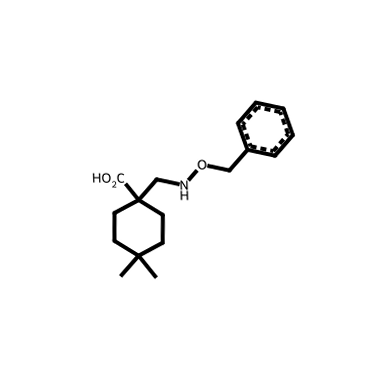 CC1(C)CCC(CNOCc2ccccc2)(C(=O)O)CC1